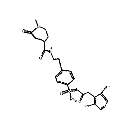 CC(C)c1cccc(C(C)C)c1CC(=O)N=S(N)(=O)c1ccc(CCNC(=O)C2CCN(C)C(=O)C2)cc1